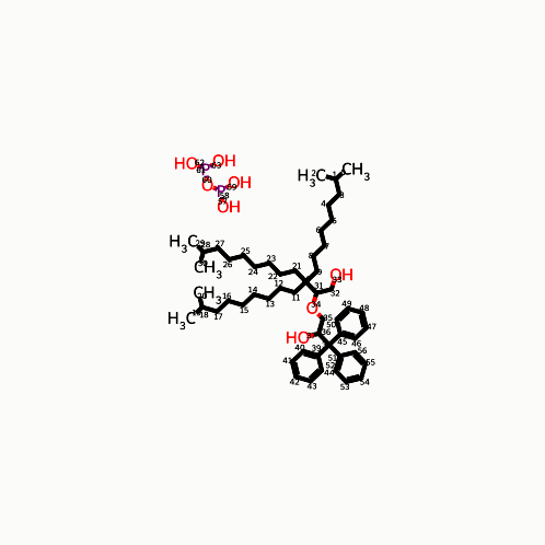 CC(C)CCCCCCCC(CCCCCCCC(C)C)(CCCCCCCC(C)C)C(CO)OCC(O)C(c1ccccc1)(c1ccccc1)c1ccccc1.OP(O)OP(O)O